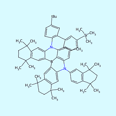 Cc1cc2c3c(c1)N(c1ccc(C(C)(C)C)cc1-c1cccc([Si](C)(C)C)c1)c1cc4c(cc1B3c1cc3c(cc1N2c1ccc2c(c1)C(C)(C)CCC2(C)C)C(C)(C)CCC3(C)C)C(C)(C)CCC4(C)C